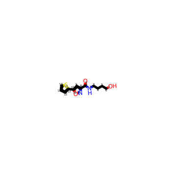 O=C(NCCCCO)c1cc(-c2cccs2)on1